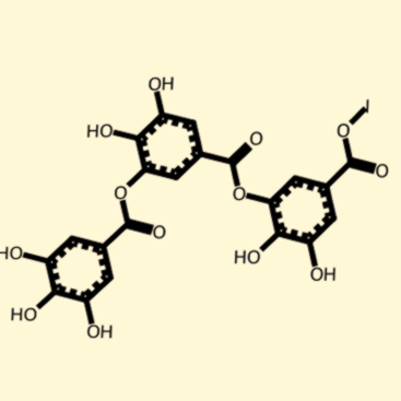 O=C(OI)c1cc(O)c(O)c(OC(=O)c2cc(O)c(O)c(OC(=O)c3cc(O)c(O)c(O)c3)c2)c1